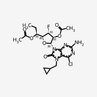 CC[C@H](OC(C)=O)[C@H]1O[C@@H](n2c(=O)n(CC3CC3)c3c(Cl)nc(N)nc32)[C@H](OC(C)=O)[C@H]1F